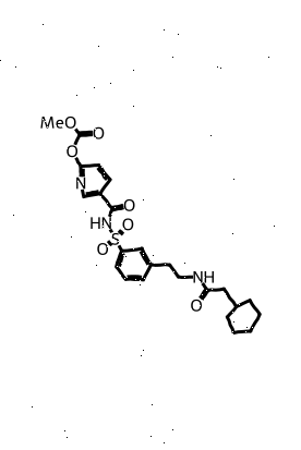 COC(=O)Oc1ccc(C(=O)NS(=O)(=O)c2cccc(CCNC(=O)CC3CCCCC3)c2)cn1